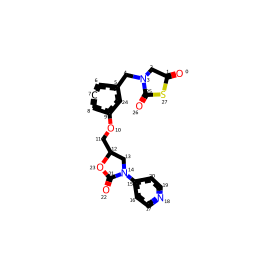 O=C1CN(Cc2cccc(OCC3CN(c4ccncc4)C(=O)O3)c2)C(=O)S1